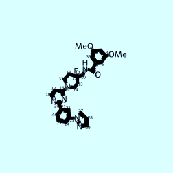 COc1cc(OC)cc(C(=O)NCC2(F)CCN(c3ccnc(-c4cccc(-n5cccn5)c4)n3)CC2)c1